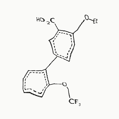 CCOc1ccc(-c2ccccc2OC(F)(F)F)cc1C(=O)O